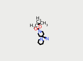 CC(C)(C)OC(=O)N1CCC(C#N)(N2CCCCC2)CC1